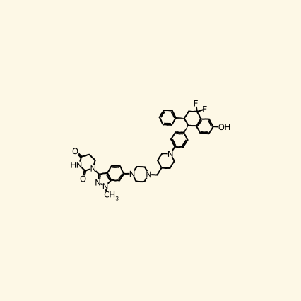 Cn1nc(N2CCC(=O)NC2=O)c2ccc(N3CCN(CC4CCN(c5ccc([C@@H]6c7ccc(O)cc7C(F)(F)C[C@@H]6c6ccccc6)cc5)CC4)CC3)cc21